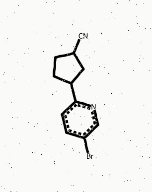 N#CC1CCC(c2ccc(Br)cn2)C1